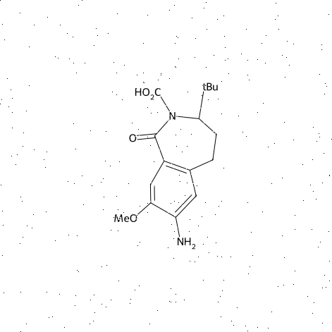 COc1cc2c(cc1N)CCC(C(C)(C)C)N(C(=O)O)C2=O